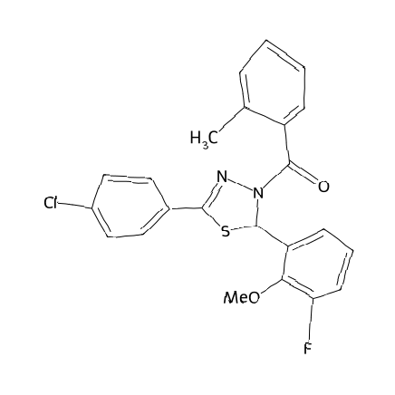 COc1c(F)cccc1C1SC(c2ccc(Cl)cc2)=NN1C(=O)c1ccccc1C